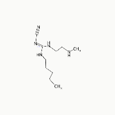 CCCCCN/C(=N/C#N)NCCNC